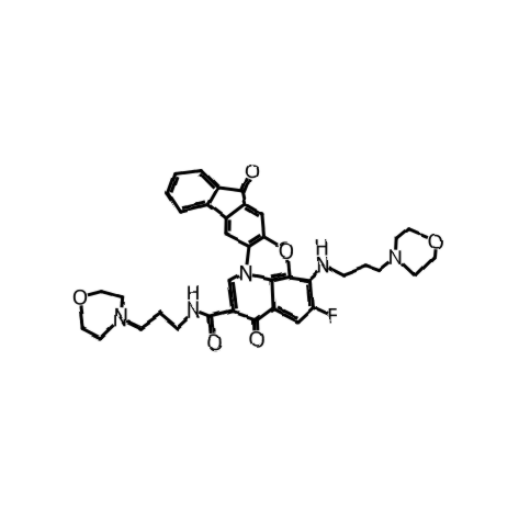 O=C(NCCCN1CCOCC1)c1cn2c3cc4c(cc3oc3c(NCCCN5CCOCC5)c(F)cc(c1=O)c32)c(=O)c1ccccc14